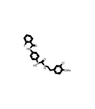 COc1ccc(CCNC(=O)N(S)c2ccc(NC(=O)c3ccccc3F)cc2)cc1Cl